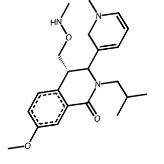 CNOC[C@H]1c2ccc(OC)cc2C(=O)N(CC(C)C)C1C1=CC=CN(C)C1